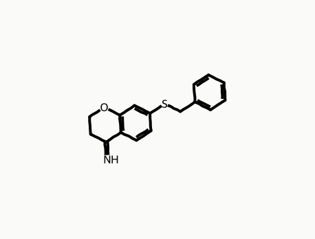 N=C1CCOc2cc(SCc3ccccc3)ccc21